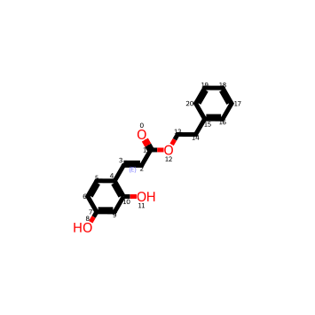 O=C(/C=C/c1ccc(O)cc1O)OCCc1ccccc1